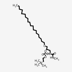 CCCCCCCCCCCCCCCCCCCCOCC(CNC(=O)NC)OP(=O)([O-])OCC[N+](C)(C)C